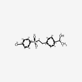 CC(O)c1ccc(CCS(=O)(=O)c2ccc(Cl)cc2)cc1